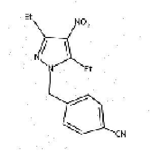 CCc1nn(Cc2ccc(C#N)cc2)c(CC)c1[N+](=O)[O-]